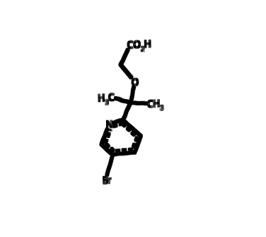 CC(C)(OCC(=O)O)c1ccc(Br)cn1